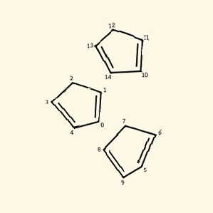 C1=CCC=C1.C1=CCC=C1.C1=CCC=C1